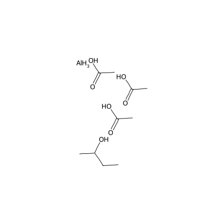 CC(=O)O.CC(=O)O.CC(=O)O.CCC(C)O.[AlH3]